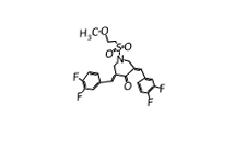 COCCS(=O)(=O)N1CC(=Cc2ccc(F)c(F)c2)C(=O)C(=Cc2ccc(F)c(F)c2)C1